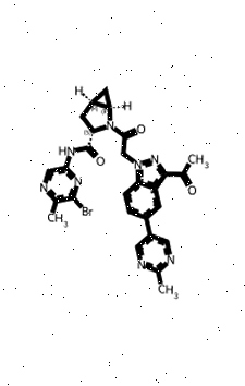 CC(=O)c1nn(CC(=O)N2[C@@H]3C[C@@H]3C[C@H]2C(=O)Nc2cnc(C)c(Br)n2)c2ccc(-c3cnc(C)nc3)cc12